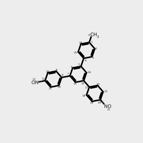 Cc1ccc(-c2cc(-c3ccc(N=O)cc3)cc(-c3ccc(N=O)cc3)c2)cc1